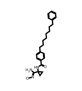 N/C(=N\Cl)C1(NC(=O)c2ccc(CCCCCCCCc3ccccc3)cc2)CC1